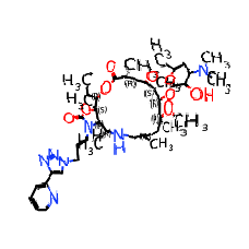 CC[C@H]1OC(=O)[C@H](C)C(=O)[C@@H](C)[C@@H](O[C@@H]2OC(C)CC(N(C)C)C2O)[C@](C)(OC)C[C@@H](C)CN[C@H](C)[C@H]2N(CCCn3cc(-c4ccccn4)nn3)C(=O)O[C@]12C